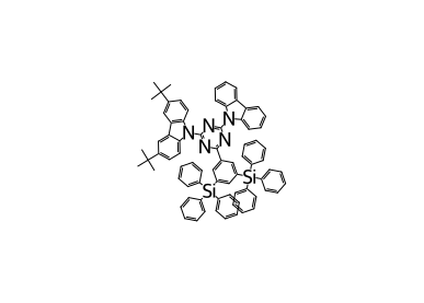 CC(C)(C)c1ccc2c(c1)c1cc(C(C)(C)C)ccc1n2-c1nc(-c2cc([Si](c3ccccc3)(c3ccccc3)c3ccccc3)cc([Si](c3ccccc3)(c3ccccc3)c3ccccc3)c2)nc(-n2c3ccccc3c3ccccc32)n1